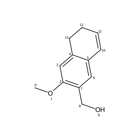 COc1cc2c(cc1CO)C=[C]CC2